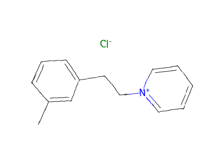 Cc1cccc(CC[n+]2ccccc2)c1.[Cl-]